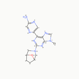 CCn1cnc2c(-c3cnc(N)cn3)nc(N3CC4CCC(C3)O4)nc21